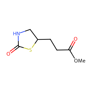 COC(=O)CCC1CNC(=O)S1